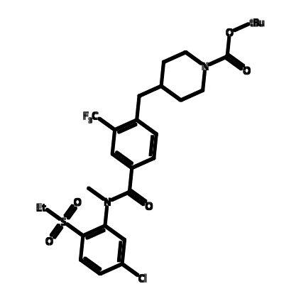 CCS(=O)(=O)c1ccc(Cl)cc1N(C)C(=O)c1ccc(CC2CCN(C(=O)OC(C)(C)C)CC2)c(C(F)(F)F)c1